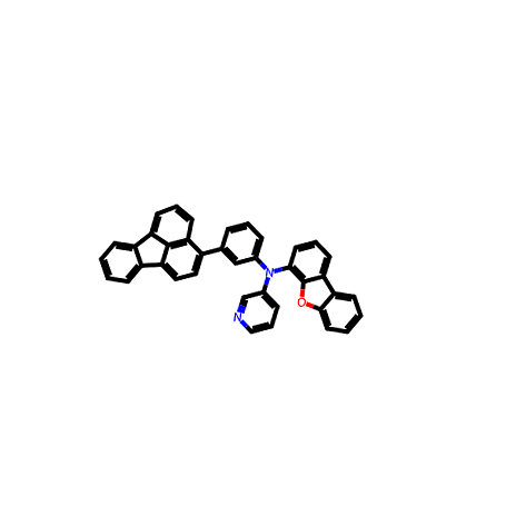 c1cncc(N(c2cccc(-c3ccc4c5c(cccc35)-c3ccccc3-4)c2)c2cccc3c2oc2ccccc23)c1